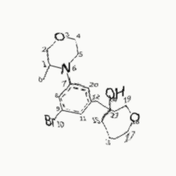 CC1COCCN1c1cc(Br)cc(C2(O)CCCOC2)c1